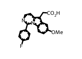 COc1ccc2c(c1)c(CC(=O)O)c1ccnc(-c3ccc(F)cc3)n12